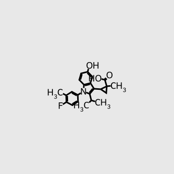 Cc1cc(-n2c(C(C)C)c(C3CC3(C)C(=O)O)c3cc(O)ccc32)ccc1F